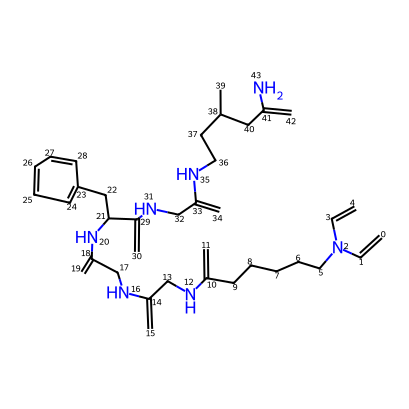 C=CN(C=C)CCCCCC(=C)NCC(=C)NCC(=C)NC(Cc1ccccc1)C(=C)NCC(=C)NCCC(C)CC(=C)N